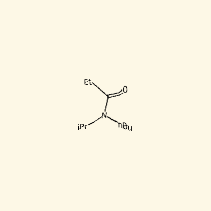 [CH2]CC(=O)N(CCCC)C(C)C